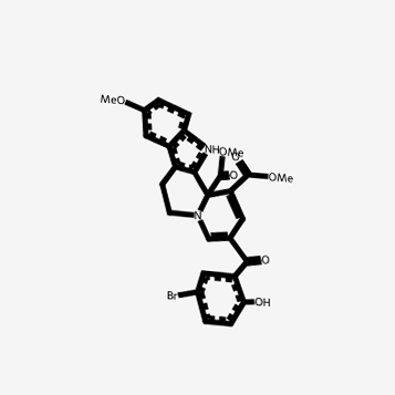 COC(=O)C1=CC(C(=O)c2cc(Br)ccc2O)=CN2CCc3c([nH]c4ccc(OC)cc34)C12C(=O)OC